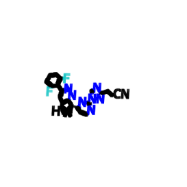 CC1(C)[C@H]2CC[C@]1(c1ccnc(-n3cnc(CCC#N)n3)n1)c1nnc(-c3c(F)cccc3F)cc12